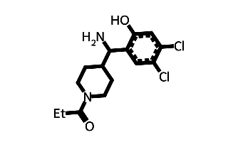 CCC(=O)N1CCC(C(N)c2cc(Cl)c(Cl)cc2O)CC1